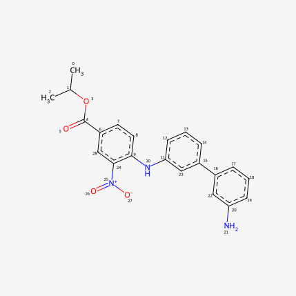 CC(C)OC(=O)c1ccc(Nc2cccc(-c3cccc(N)c3)c2)c([N+](=O)[O-])c1